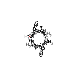 C[C@H]1OC(=O)[C@H](CC2CC2)N(C)C(=O)[C@@H](Cc2ccc(N3CCOCC3)cc2)OC(=O)[C@H](CC2CC2)N(C)C(=O)[C@@H](C)OC(=O)[C@H](CC2CC2)N(C)C(=O)[C@@H](Cc2ccc(N3CCOCC3)cc2)OC(=O)[C@H](CCC2CC2)N(C)C1=O